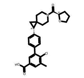 Cc1cc(C(=O)O)cc(-c2ccc([C@@H]3CC34CCN(C(=O)[C@H]3CCCO3)CC4)cc2)c1Cl